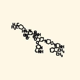 CC(C)c1ccccc1[C@@H]1CNCCN1C1CC2(CCN(c3ccc(C(=O)NS(=O)(=O)c4cnc(NCC5CCC(C)(C)CC5)c([N+](=O)[O-])c4)c(Oc4cnc5[nH]ccc5c4)c3)CC2)C1